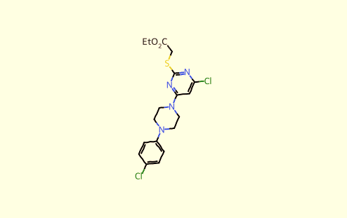 CCOC(=O)CSc1nc(Cl)cc(N2CCN(c3ccc(Cl)cc3)CC2)n1